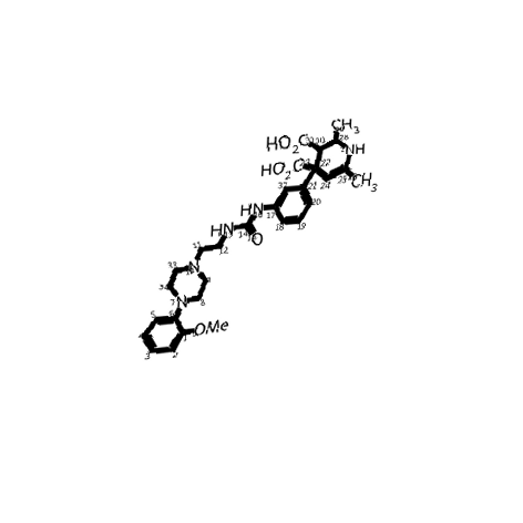 COc1ccccc1N1CCN(CCNC(=O)Nc2cccc(C3(C(=O)O)C=C(C)NC(C)C3C(=O)O)c2)CC1